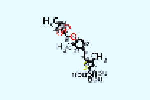 CCC[CH2][Sn]([CH2]CCC)([CH2]CCC)[c]1cc(C)c(CCc2ccc(OCC34OCC(C)(CO3)CO4)c(C)c2)s1